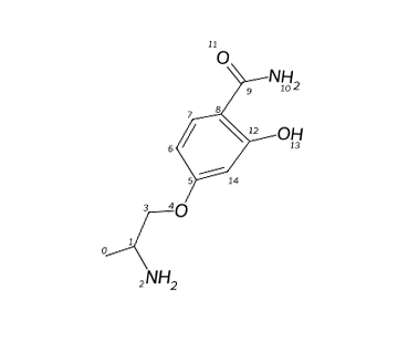 CC(N)COc1ccc(C(N)=O)c(O)c1